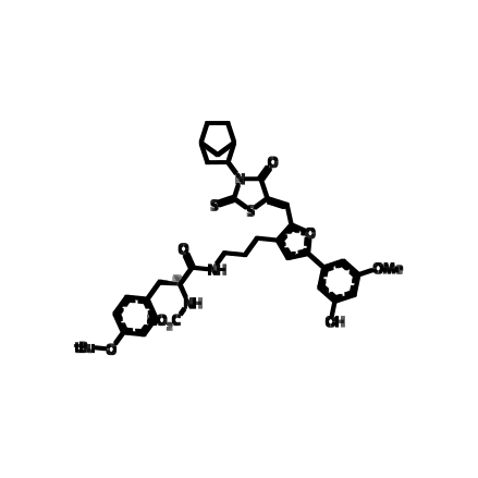 COc1cc(O)cc(-c2cc(CCCNC(=O)[C@H](Cc3ccc(OC(C)(C)C)cc3)NC(=O)O)c(C=C3SC(=S)N(C4CC5CCC4C5)C3=O)o2)c1